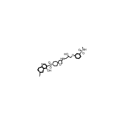 CNS(=O)(=O)c1cccc(OCC(O)CNC2COC3(CCN(S(=O)(=O)c4cnc5ccc(F)cc5c4O)CC3)C2)c1